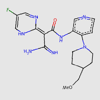 COCC1CCN(c2ccncc2NC(=O)/C(C(=N)N)=C2\N=CC(F)=CN2)CC1